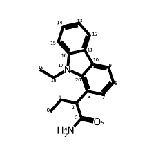 CCC(C(N)=O)c1cccc2c3ccccc3n(CC)c12